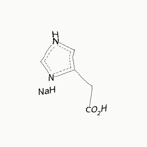 O=C(O)Cc1c[nH]cn1.[NaH]